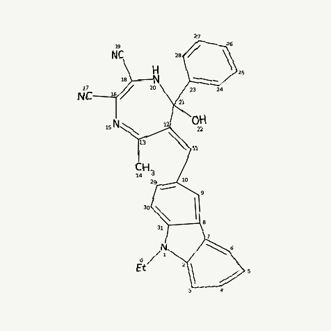 CCn1c2ccccc2c2cc(/C=C3\C(C)=NC(C#N)=C(C#N)NC3(O)c3ccccc3)ccc21